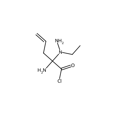 C=CCC(N)(C(=O)Cl)N(N)CC